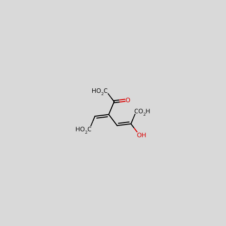 O=C(O)/C=C(\C=C(\O)C(=O)O)C(=O)C(=O)O